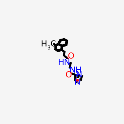 Cc1ccc(CCC(=O)NCCNC(=O)C2CN3CCN2CC3)c2ccccc12